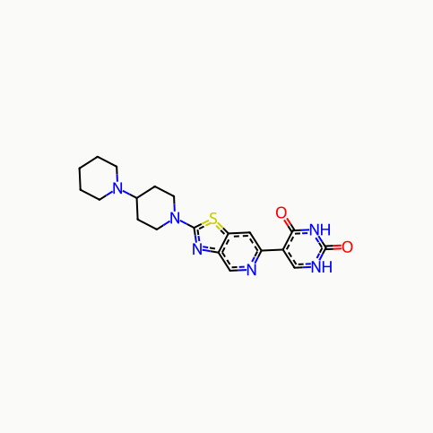 O=c1[nH]cc(-c2cc3sc(N4CCC(N5CCCCC5)CC4)nc3cn2)c(=O)[nH]1